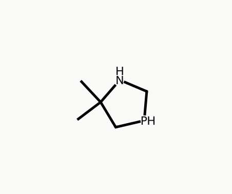 CC1(C)CPCN1